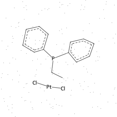 CCP(c1ccccc1)c1ccccc1.[Cl][Pt][Cl]